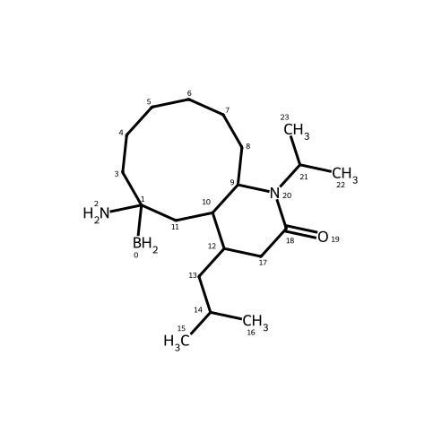 BC1(N)CCCCCCC2C(C1)C(CC(C)C)CC(=O)N2C(C)C